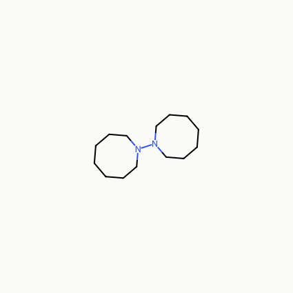 C1CCCN(N2CCCCCCC2)CCC1